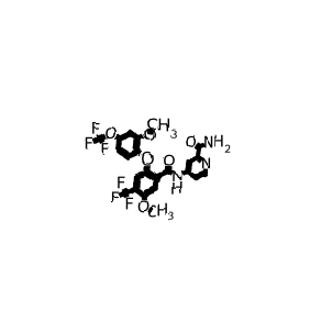 COc1cc(OC(F)(F)F)ccc1Oc1cc(C(F)(F)F)c(OC)cc1C(=O)Nc1ccnc(C(N)=O)c1